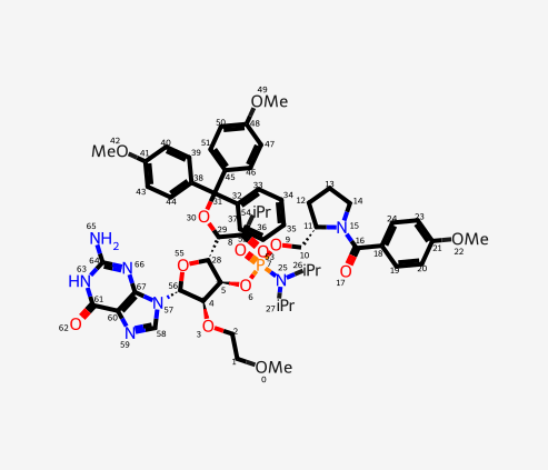 COCCO[C@@H]1[C@H](OP(=O)(OC[C@@H]2CCCN2C(=O)c2ccc(OC)cc2)N(C(C)C)C(C)C)[C@@H](C(OC(c2ccccc2)(c2ccc(OC)cc2)c2ccc(OC)cc2)C(=O)C(C)C)O[C@H]1n1cnc2c(=O)[nH]c(N)nc21